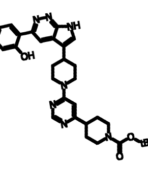 CC(C)(C)OC(=O)N1CCC(c2cc(N3CCC(c4c[nH]c5nnc(-c6ccccc6O)cc45)CC3)ncn2)CC1